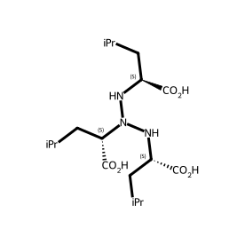 CC(C)C[C@H](NN(N[C@@H](CC(C)C)C(=O)O)[C@@H](CC(C)C)C(=O)O)C(=O)O